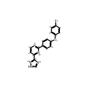 Fc1ccc(Oc2ccc(-c3nccc(-c4nc[nH]n4)n3)cc2)cc1